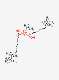 CC(C)CCOP(=O)(OC[C@H](CO)OCCCCCCCC/C=C\CC(C)(C)CCC(C)(C)C)OC[C@H](CO)OCCCCCCCC/C=C\CC(C)(C)C(C)C